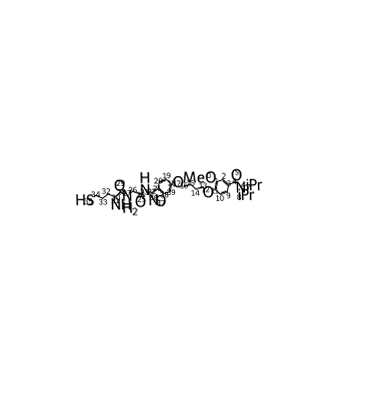 COc1cc(C(=O)N(C(C)C)C(C)C)ccc1OCCCCOc1ccc2c(NC(=O)CNC(=O)C(N)CCCS)noc2c1